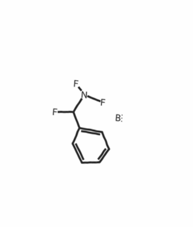 FC(c1ccccc1)N(F)F.[B]